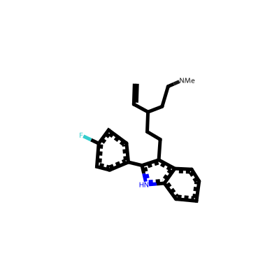 C=CC(CCNC)CCc1c(-c2ccc(F)cc2)[nH]c2ccccc12